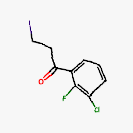 O=C(CCI)c1cccc(Cl)c1F